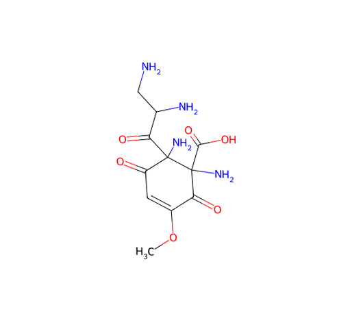 COC1=CC(=O)C(N)(C(=O)C(N)CN)C(N)(C(=O)O)C1=O